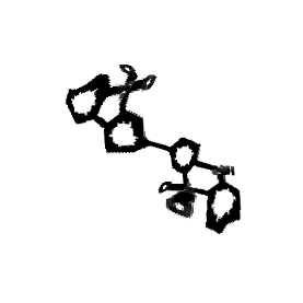 O=S1(=O)c2ccccc2Nc2ccc(-c3ccc4c(c3)S(=O)(=O)c3ccccc3-4)cc21